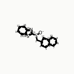 [O-][S+](Cc1ccc2ccccc2c1)c1nc2ccccc2s1